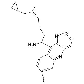 CN(CCCC(N)c1c2ccc(Cl)cc2nc2cccnc12)CC1CC1